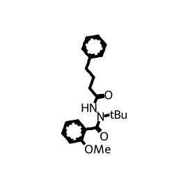 COc1ccccc1C(=O)N(NC(=O)CCCc1ccccc1)C(C)(C)C